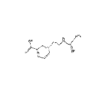 N=C(N)NCCc1cccc(C(=O)O)c1